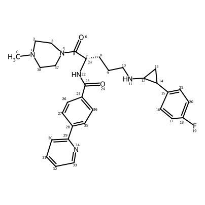 CN1CCN(C(=O)[C@H](CCCNC2CC2c2ccc(F)cc2)NC(=O)c2ccc(-c3ccccn3)cc2)CC1